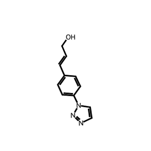 OCC=Cc1ccc(-n2ccnn2)cc1